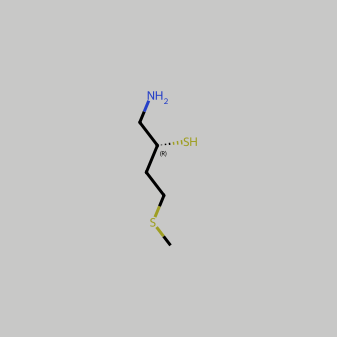 CSCC[C@@H](S)CN